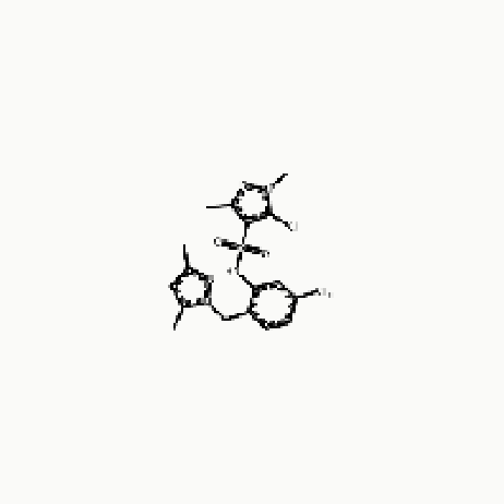 Cc1cc(C)n(Cc2ccc(C(F)(F)F)cc2NS(=O)(=O)c2c(C)nn(C)c2Cl)n1